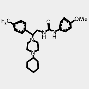 COc1ccc(NC(=O)NCC(c2ccc(C(F)(F)F)cc2)N2CCN(C3CCCCC3)CC2)cc1